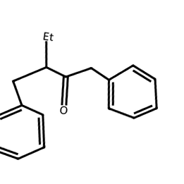 CCC(Cc1ccccc1)C(=O)Cc1ccccc1